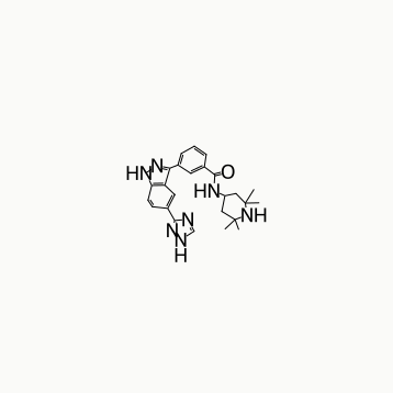 CC1(C)CC(NC(=O)c2cccc(-c3n[nH]c4ccc(-c5nc[nH]n5)cc34)c2)CC(C)(C)N1